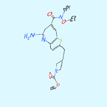 CCCN(OCC)C(=O)C1=Cc2sc(CC3CN(C(=O)OC(C)(C)C)C3)cc2N=C(N)C1